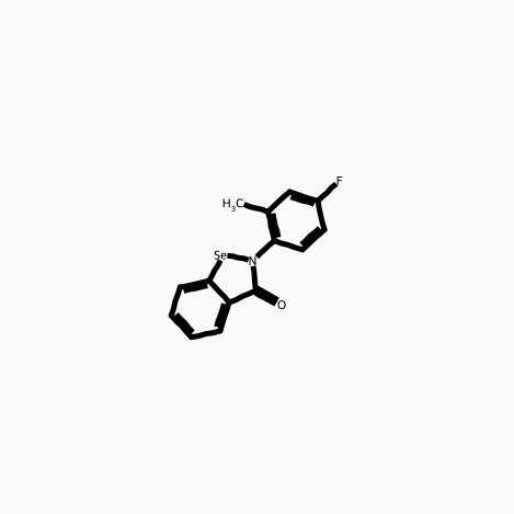 Cc1cc(F)ccc1-n1[se]c2ccccc2c1=O